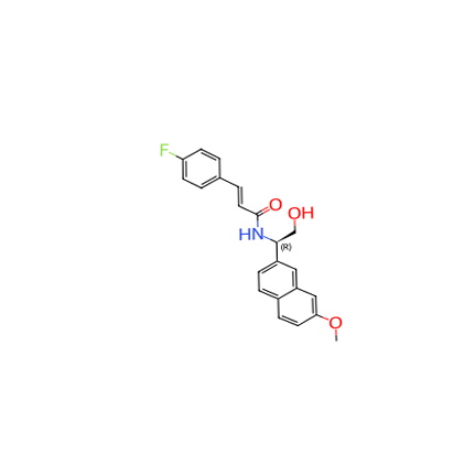 COc1ccc2ccc([C@H](CO)NC(=O)C=Cc3ccc(F)cc3)cc2c1